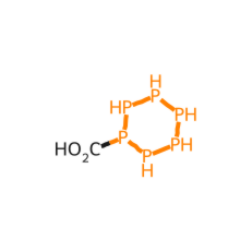 O=C(O)P1PPPPP1